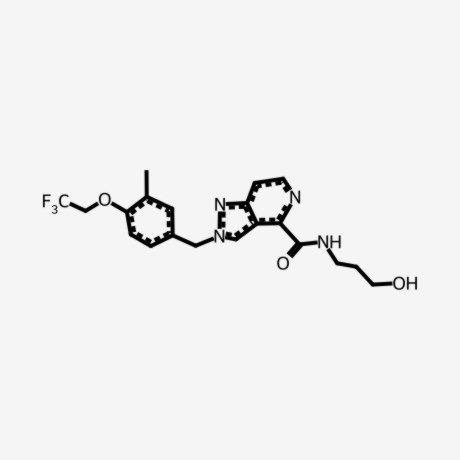 Cc1cc(Cn2cc3c(C(=O)NCCCO)nccc3n2)ccc1OCC(F)(F)F